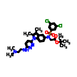 Cc1c(C)n(-c2ccc(NCCN(C)C)nn2)c2ccc(N(CC(=O)OC(C)(C)C)S(=O)(=O)c3cc(Cl)cc(Cl)c3)cc12